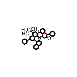 CC(C)(C)c1ccc(N(c2ccc3c(c2)oc2ccccc23)c2ccc3ccccc3c2-c2cccc(-c3ccccc3)c2)c(-c2ccccc2)c1